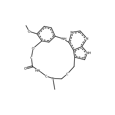 COc1ccc2cc1OCC(=O)NCN(C)CCCc1c[nH]c3ncnc(c13)N2